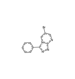 Brc1cnc2nnc(-c3ccccc3)n2c1